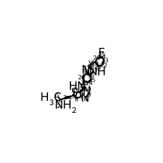 CC(N)C#Cc1cc2ncnc(Nc3ccc4[nH]c(Cc5cccc(F)c5)nc4c3)c2s1